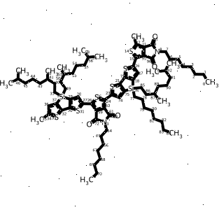 CCCCCCCCN1C(=O)c2c(C)sc(-c3cc4c(s3)-c3sc(-c5sc(-c6cc7c(s6)-c6sc(C)cc6[Si]7(CCC(C)CCCC(C)C)CCC(C)CCCC(C)C)c6c5C(=O)N(CCCCCCCC)C6=O)cc3[Si]4(CCCCCCCC)CCC(C)CCCC(C)C)c2C1=O